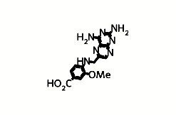 COc1cc(C(=O)O)ccc1NCc1cnc2nc(N)nc(N)c2n1